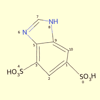 O=S(=O)(O)c1cc(S(=O)(=O)O)c2nc[nH]c2c1